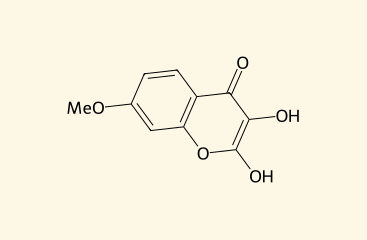 COc1ccc2c(=O)c(O)c(O)oc2c1